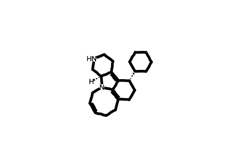 C1=C\CN2C3=C(CC/1)CC[C@@H](C1CCCCC1)C3=C1CCNC[C@@H]12